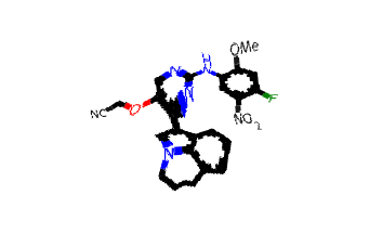 COc1cc(F)c([N+](=O)[O-])cc1Nc1ncc(OCC#N)c(-c2cn3c4c(cccc24)CCC3)n1